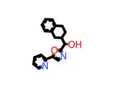 OC(c1ncc(-c2ccccn2)o1)C1CCc2ccccc2C1